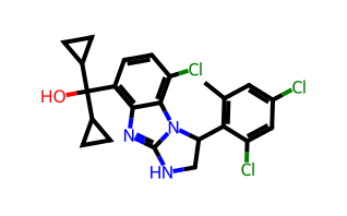 Cc1cc(Cl)cc(Cl)c1C1CNc2nc3c(C(O)(C4CC4)C4CC4)ccc(Cl)c3n21